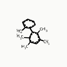 Cc1cc(C)c(C)c(-c2ccccc2O)c1C